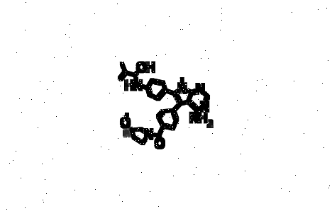 C=C(C)C(O)Nc1ccc(-c2c(-c3ccc(C(=O)N4CC[C@H](OC)C4)cc3)c3c(N)ncnc3n2C)cc1